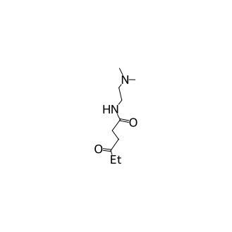 CCC(=O)CCC(=O)NCCN(C)C